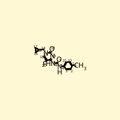 Cc1ccc(NC(=O)Nc2nc(=O)n(CC3CC3)cc2F)cc1